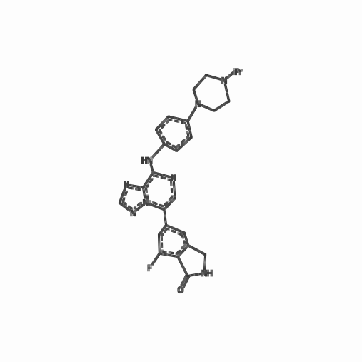 CC(C)N1CCN(c2ccc(Nc3ncc(-c4cc(F)c5c(c4)CNC5=O)n4ncnc34)cc2)CC1